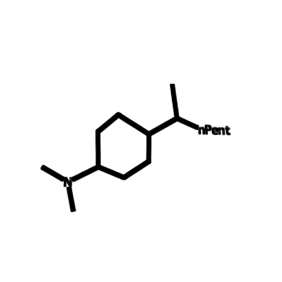 CCCCCC(C)C1CCC(N(C)C)CC1